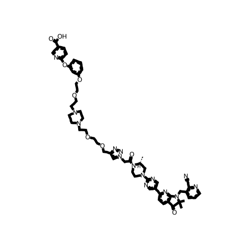 C[C@@H]1CN(c2ncc(-c3ccc4c(n3)N(Cc3cccnc3C#N)C(C)(C)C4=O)cn2)CCN1C(=O)Cn1cc(COCCOCCN2CCN(CCOCCOc3cccc(Oc4ccc(C(=O)O)cn4)c3)CC2)nn1